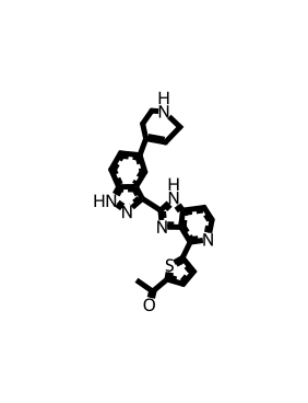 CC(=O)c1ccc(-c2nccc3[nH]c(-c4n[nH]c5ccc(C6=CCNCC6)cc45)nc23)s1